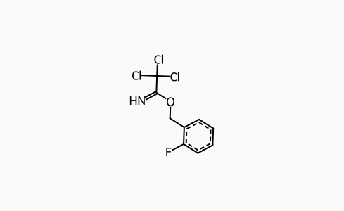 N=C(OCc1ccccc1F)C(Cl)(Cl)Cl